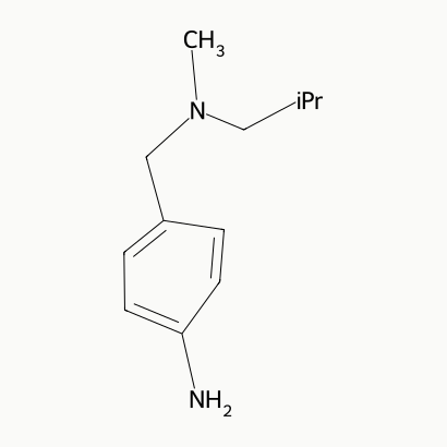 CC(C)CN(C)Cc1ccc(N)cc1